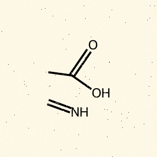 C=N.CC(=O)O